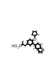 CC(Cc1ccc(OC2CCCC2)c(-c2ccc3nscc3c2)c1)C(=O)O